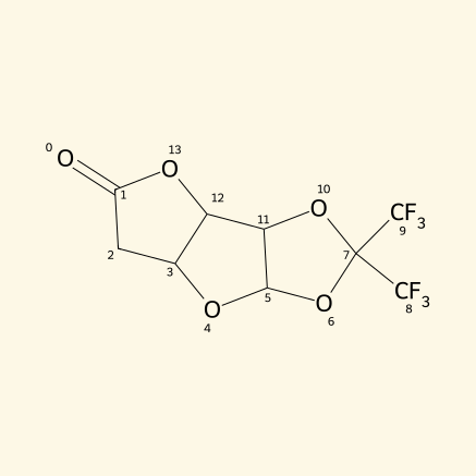 O=C1CC2OC3OC(C(F)(F)F)(C(F)(F)F)OC3C2O1